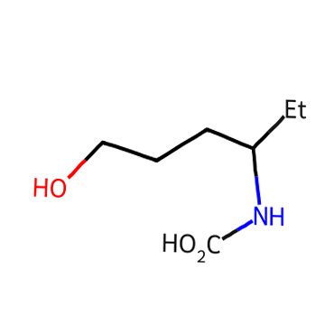 CCC(CCCO)NC(=O)O